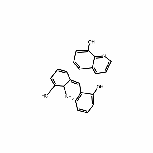 NC1C(O)=CC=CC1=Cc1ccccc1O.Oc1cccc2cccnc12